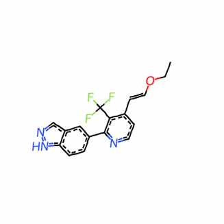 CCO/C=C/c1ccnc(-c2ccc3[nH]ncc3c2)c1C(F)(F)F